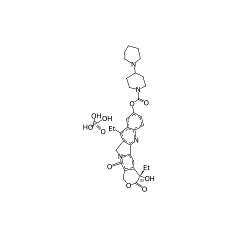 CCc1c2c(nc3ccc(OC(=O)N4CCC(N5CCCCC5)CC4)cc13)-c1cc3c(c(=O)n1C2)COC(=O)[C@]3(O)CC.O=P(O)(O)O